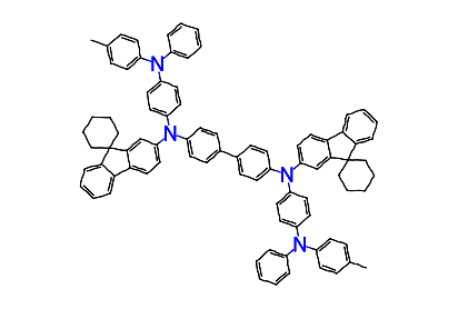 Cc1ccc(N(c2ccccc2)c2ccc(N(c3ccc(-c4ccc(N(c5ccc(N(c6ccccc6)c6ccc(C)cc6)cc5)c5ccc6c(c5)C5(CCCCC5)c5ccccc5-6)cc4)cc3)c3ccc4c(c3)C3(CCCCC3)c3ccccc3-4)cc2)cc1